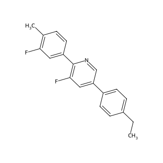 CCc1ccc(-c2cnc(-c3ccc(C)c(F)c3)c(F)c2)cc1